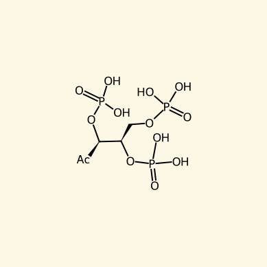 CC(=O)[C@@H](OP(=O)(O)O)[C@@H](COP(=O)(O)O)OP(=O)(O)O